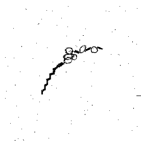 CCCCCCCCCCC#COOS(=O)(=O)CCOCCOCC